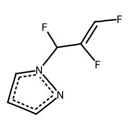 FC=C(F)C(F)n1cccn1